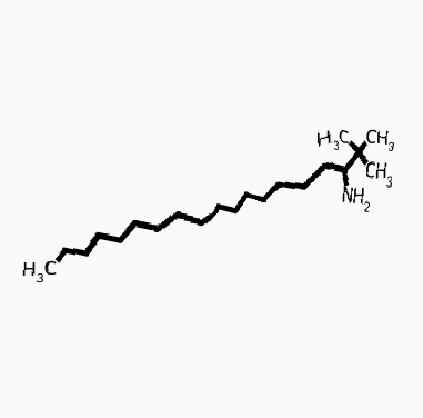 CCCCCCCCCCCCCCCCC(N)C(C)(C)C